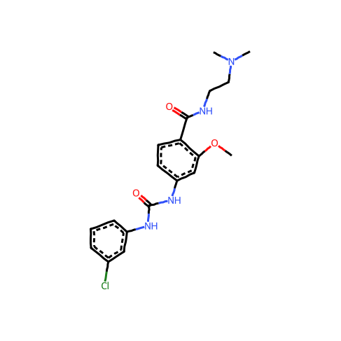 COc1cc(NC(=O)Nc2cccc(Cl)c2)ccc1C(=O)NCCN(C)C